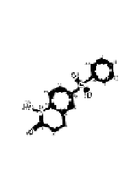 O=C1[CH]Cc2cc(S(=O)(=O)c3ccccc3)ccc2N1O